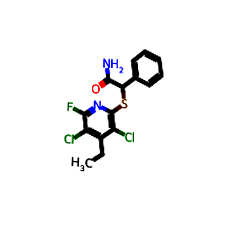 CCc1c(Cl)c(F)nc(SC(C(N)=O)c2ccccc2)c1Cl